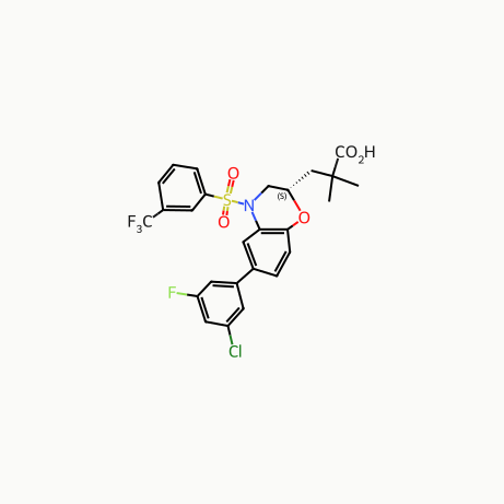 CC(C)(C[C@H]1CN(S(=O)(=O)c2cccc(C(F)(F)F)c2)c2cc(-c3cc(F)cc(Cl)c3)ccc2O1)C(=O)O